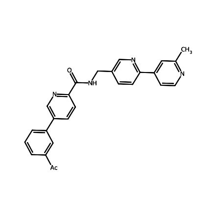 CC(=O)c1cccc(-c2ccc(C(=O)NCc3ccc(-c4ccnc(C)c4)nc3)nc2)c1